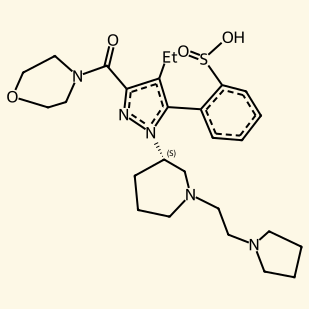 CCc1c(C(=O)N2CCOCC2)nn([C@H]2CCCN(CCN3CCCC3)C2)c1-c1ccccc1S(=O)O